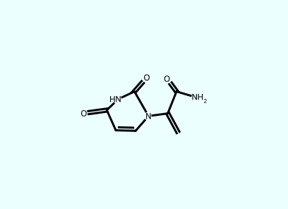 C=C(C(N)=O)n1ccc(=O)[nH]c1=O